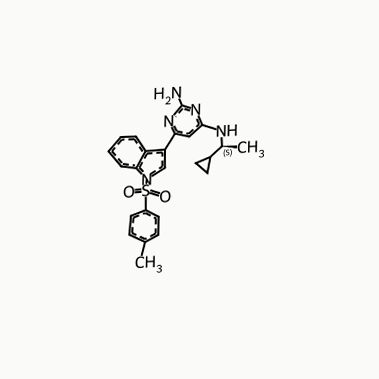 Cc1ccc(S(=O)(=O)n2cc(-c3cc(N[C@@H](C)C4CC4)nc(N)n3)c3ccccc32)cc1